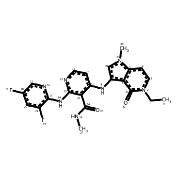 CCn1ccc2c(c(Nc3ccnc(Nc4ncc(F)cc4F)c3C(=O)NC)cn2C)c1=O